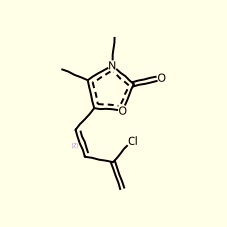 C=C(Cl)/C=C\c1oc(=O)n(C)c1C